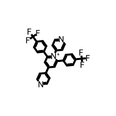 FC(F)(F)c1ccc(-c2cc(-c3ccncc3)cc(-c3ccc(C(F)(F)F)cc3)[n+]2-c2ccncc2)cc1